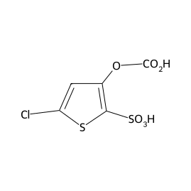 O=C(O)Oc1cc(Cl)sc1S(=O)(=O)O